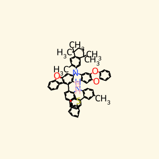 Cc1ccc(Nc2c(-c3c4c(cc5oc6ccccc6c35)N(c3cc5c(cc3C)C(C)(C)CCC5(C)C)c3cc5c(cc3B4)Oc3ccccc3O5)ccc3c2sc2ccccc23)c(-c2ccccc2)c1